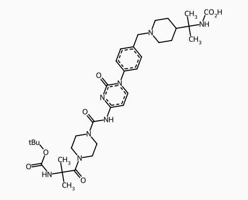 CC(C)(C)OC(=O)NC(C)(C)C(=O)N1CCN(C(=O)Nc2ccn(-c3ccc(CN4CCC(C(C)(C)NC(=O)O)CC4)cc3)c(=O)n2)CC1